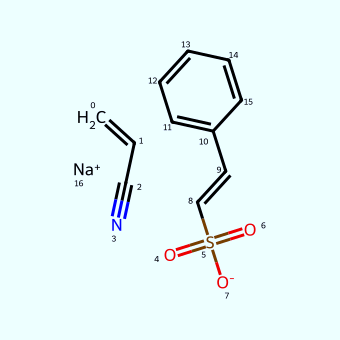 C=CC#N.O=S(=O)([O-])C=Cc1ccccc1.[Na+]